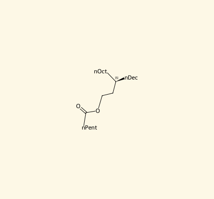 CCCCCCCCCC[C@H](CCCCCCCC)CCOC(=O)CCCCC